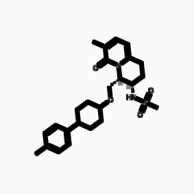 Cc1ccc(C2CCC(OC[C@H]3[C@@H](NS(C)(=O)=O)CCc4ccc(C)c(=O)n43)CC2)cc1